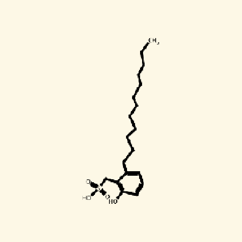 CCCCCCCCCCCCc1cccc(O)c1CS(=O)(=O)O